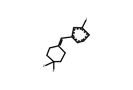 FC1(F)CCC(=Cc2cccc(I)c2)CC1